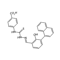 O=C(O)c1ccc(NC(=S)NN=Cc2cccc(-c3cccc4ccccc34)c2O)cc1